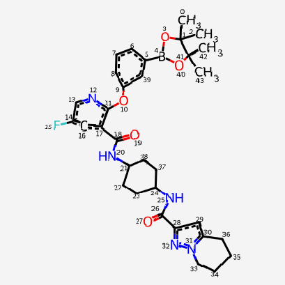 CC1(C)OB(c2cccc(Oc3ncc(F)cc3C(=O)NC3CCC(NC(=O)c4cc5n(n4)CCCC5)CC3)c2)OC1(C)C